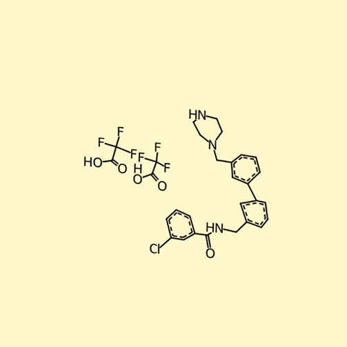 O=C(NCc1cccc(-c2cccc(CN3CCNCC3)c2)c1)c1cccc(Cl)c1.O=C(O)C(F)(F)F.O=C(O)C(F)(F)F